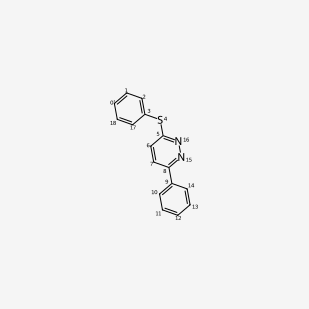 [c]1ccc(Sc2ccc(-c3ccccc3)nn2)cc1